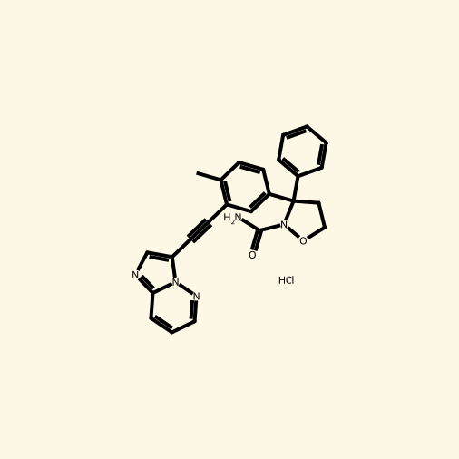 Cc1ccc(C2(c3ccccc3)CCON2C(N)=O)cc1C#Cc1cnc2cccnn12.Cl